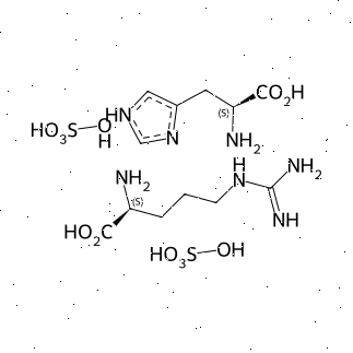 N=C(N)NCCC[C@H](N)C(=O)O.N[C@@H](Cc1c[nH]cn1)C(=O)O.O=S(=O)(O)O.O=S(=O)(O)O